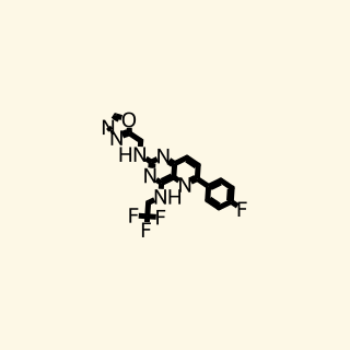 Fc1ccc(-c2ccc3nc(NCc4nnco4)nc(NCC(F)(F)F)c3n2)cc1